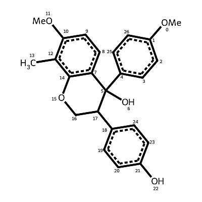 COc1ccc(C2(O)c3ccc(OC)c(C)c3OCC2c2ccc(O)cc2)cc1